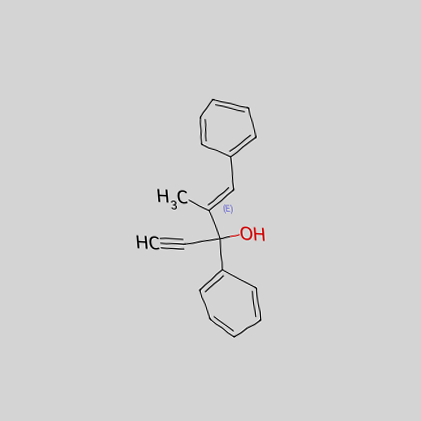 C#CC(O)(/C(C)=C/c1ccccc1)c1ccccc1